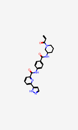 C=CC(=O)N1CCCC(NC(=O)c2ccc(NC(=O)c3cccc(-c4ccn[nH]4)n3)cc2)C1